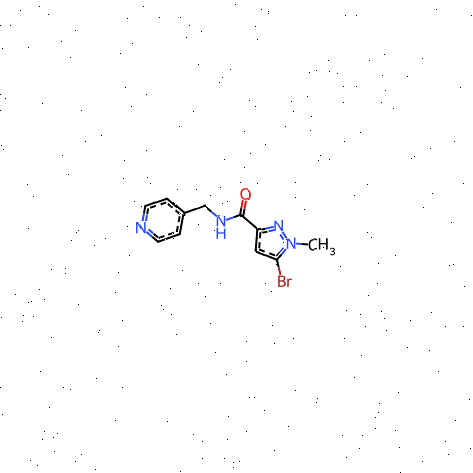 Cn1nc(C(=O)NCc2ccncc2)cc1Br